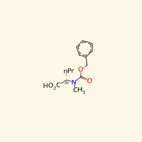 CCC[C@@H](C(=O)O)N(C)C(=O)OCc1ccccc1